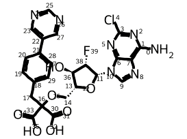 Nc1nc(Cl)nc2c1ncn2[C@@H]1O[C@H](COC(Cc2ccc(-c3cncnc3)cc2)(C(=O)O)C(=O)O)[C@@H](O)[C@@H]1F